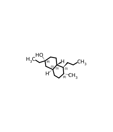 CCC[C@@H]1[C@H]2CC[C@](O)(CC)C[C@@H]2CC[C@H]1C